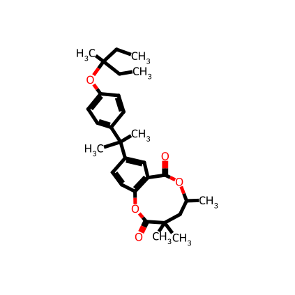 CCC(C)(CC)Oc1ccc(C(C)(C)c2ccc3c(c2)C(=O)OC(C)CC(C)(C)C(=O)O3)cc1